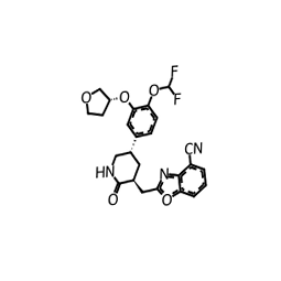 N#Cc1cccc2oc(C[C@@H]3C[C@@H](c4ccc(OC(F)F)c(O[C@@H]5CCOC5)c4)CNC3=O)nc12